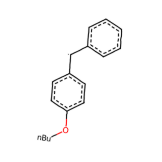 CCCCOc1ccc([CH]c2ccccc2)cc1